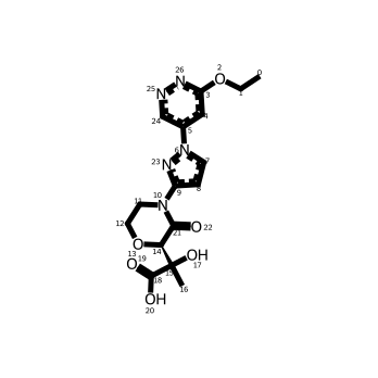 CCOc1cc(-n2ccc(N3CCO[C@H](C(C)(O)C(=O)O)C3=O)n2)cnn1